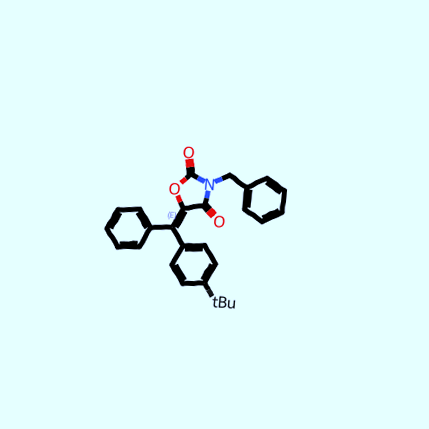 CC(C)(C)c1ccc(/C(=C2/OC(=O)N(Cc3ccccc3)C2=O)c2ccccc2)cc1